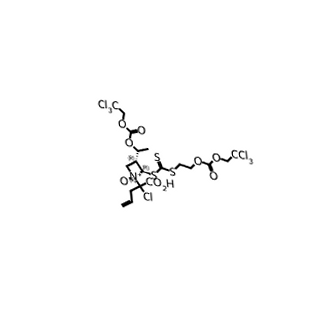 C=CCC(Cl)(C(=O)O)[N@@+]1([O-])C[C@H](C(C)OC(=O)OCC(Cl)(Cl)Cl)[C@H]1SC(=S)SCCOC(=O)OCC(Cl)(Cl)Cl